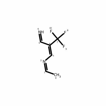 C/C=N\C=C(/C=N)C(F)(F)F